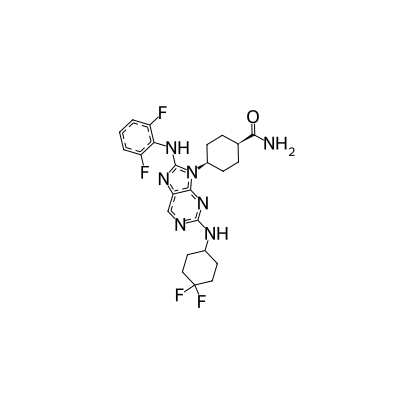 NC(=O)[C@H]1CC[C@@H](n2c(Nc3c(F)cccc3F)nc3cnc(NC4CCC(F)(F)CC4)nc32)CC1